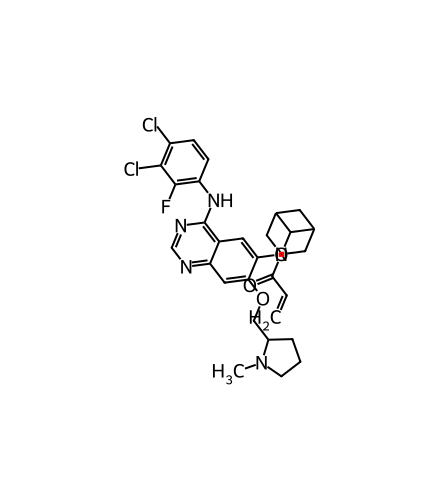 C=CC(=O)N1CC2CC(C1)C2Oc1cc2c(Nc3ccc(Cl)c(Cl)c3F)ncnc2cc1OCC1CCCN1C